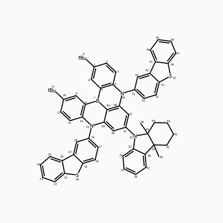 CC(C)(C)c1ccc2c(c1)B1c3cc(C(C)(C)C)ccc3N(c3ccc4sc5ccccc5c4c3)c3cc(N4c5ccccc5C5(C)CCCCC45C)cc(c31)N2c1ccc2sc3ccccc3c2c1